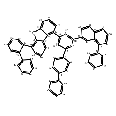 c1ccc(-c2ccc(-c3nc(-c4ccc5cccc(-c6ccccc6)c5c4)nc(-c4cccc5oc6c(-c7ccccc7-c7ccccc7)cccc6c45)n3)cc2)cc1